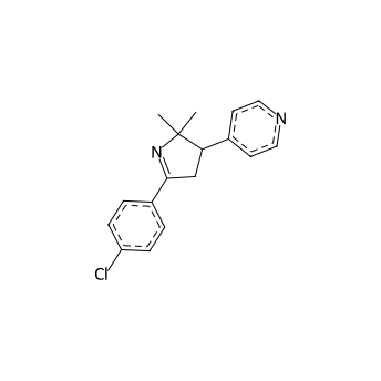 CC1(C)N=C(c2ccc(Cl)cc2)CC1c1ccncc1